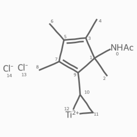 CC(=O)NC1(C)C(C)=C(C)C(C)=C1[CH]1[CH2][Ti+2]1.[Cl-].[Cl-]